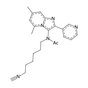 C#[N+]CCCCCCN(C(C)=O)c1c(-c2cccnc2)nc2cc(C)cc(C)n12